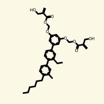 C=C(CO)C(=O)OCOc1cc(OCOC(=O)C(=C)CO)cc(-c2ccc(-c3ccc(CCCCCC)c(C)c3)c(CC)c2)c1